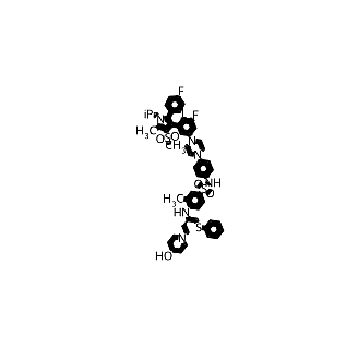 Cc1cc(S(=O)(=O)Nc2ccc(N3CCN(c4cc(F)c(I)c(-c5c(S(C)(=O)=O)c(C)n(C(C)C)c5-c5ccc(F)cc5)c4)CC3)cc2)ccc1N[C@H](CCN1CCC(O)CC1)CSc1ccccc1